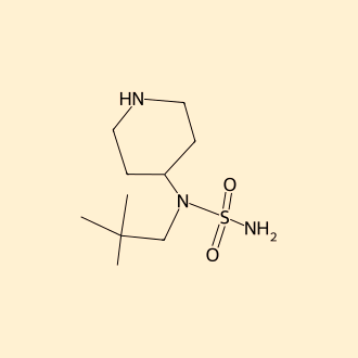 CC(C)(C)CN(C1CCNCC1)S(N)(=O)=O